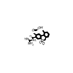 Cc1cc2c(cc1C(=O)NC(=N)N)S(=O)(=O)Cc1cccc(C)c1-2.O=CO